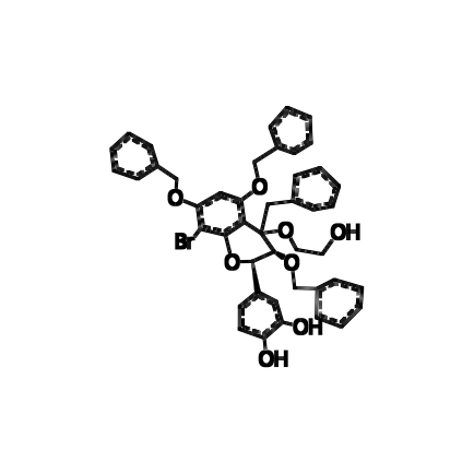 OCCOC1(Cc2ccccc2)c2c(OCc3ccccc3)cc(OCc3ccccc3)c(Br)c2O[C@H](c2ccc(O)c(O)c2)[C@@H]1OCc1ccccc1